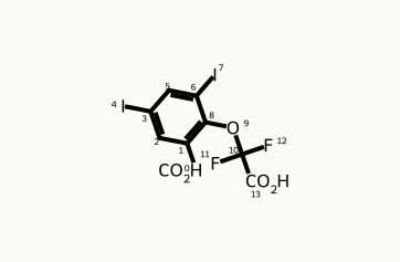 O=C(O)c1cc(I)cc(I)c1OC(F)(F)C(=O)O